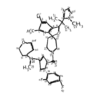 Cc1nc2c(cc1Cl)C(C(C)(C)c1ncnn1C)OC21CCN(C(=O)[C@@H]2CC(N(C)C3CCOCC3)C[C@H]2c2ccc(F)cc2F)CC1